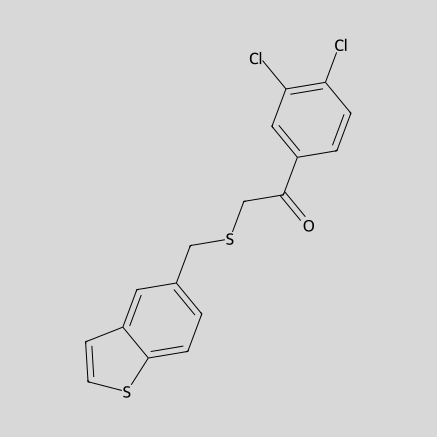 O=C(CSCc1ccc2sccc2c1)c1ccc(Cl)c(Cl)c1